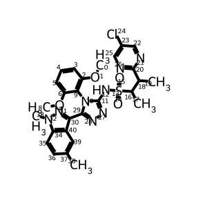 COc1cccc(OC)c1-n1c(NS(=O)(=O)C(C)C(C)c2ncc(Cl)cn2)nnc1-c1nn(C)c2ccc(C)cc12